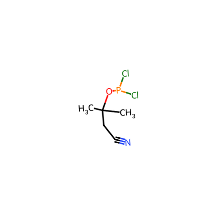 CC(C)(CC#N)OP(Cl)Cl